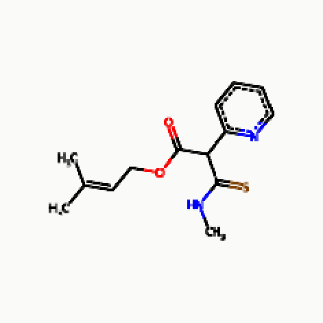 CNC(=S)C(C(=O)OCC=C(C)C)c1ccccn1